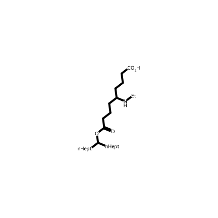 CCCCCCCC(CCCCCCC)OC(=O)CCCC(CCCC(=O)O)NCC